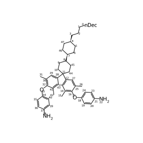 CCCCCCCCCCCCC[C@H]1CC[C@@H](C2CCC(c3cc(C)c(Oc4ccc(N)cc4)c(C)c3)(c3cc(C)c(Oc4ccc(N)cc4)c(C)c3)CC2)CC1